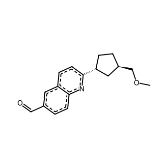 COC[C@@H]1CC[C@@H](c2ccc3cc(C=O)ccc3n2)C1